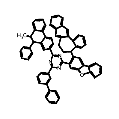 CC1c2ccccc2-c2ccc(-c3nc(-c4cccc(-c5ccccc5)c4)nc(-c4cc5oc6ccccc6c5cc4C4CCc5cc6ccccc6cc5-c5ccccc54)n3)cc2C1c1ccccc1